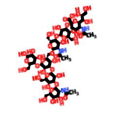 CC(=O)N[C@H]1[C@H](OC[C@H]2O[C@@H](O[C@H]3[C@H](O)[C@@H](O)[C@H](O)O[C@@H]3CO)[C@H](O)[C@@H](O[C@H]3O[C@H](CO)[C@H](O)[C@H](O[C@@H]4O[C@H](CO)[C@H](O)[C@H](O)[C@H]4NC(C)=O)[C@H]3O)[C@H]2O)O[C@H](CO)[C@@H](O[C@@H]2O[C@H](CO)[C@H](O)[C@H](O[C@]3(C(=O)O)C[C@H](O)[C@@H](NC(C)=O)[C@H]([C@H](O)[C@H](O)CO)O3)[C@H]2O)[C@@H]1O